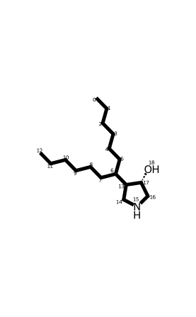 CCCCCCC(CCCCCC)C1CNC[C@H]1O